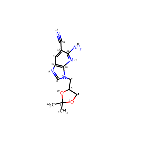 CC1(C)OCC(Cn2cnc3cc(C#N)c(N)nc32)O1